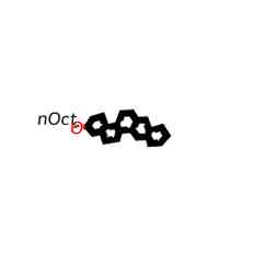 CCCCCCCCOc1ccc2c(ccc3c4cc5ccccc5cc4ccc23)c1